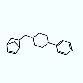 C1=CC2CC1CC2CN1CCN(c2ccncc2)CC1